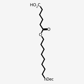 CCCCCCCCCCCCCCCCCCOC(=O)CCCCC(=O)O